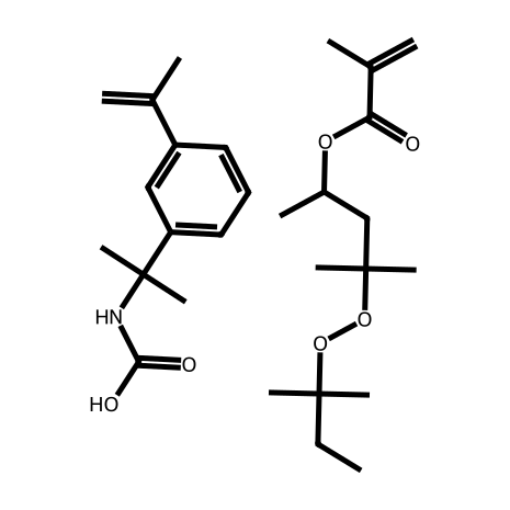 C=C(C)C(=O)OC(C)CC(C)(C)OOC(C)(C)CC.C=C(C)c1cccc(C(C)(C)NC(=O)O)c1